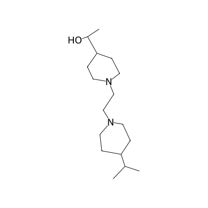 CC(C)C1CCN(CCN2CCC(C(C)O)CC2)CC1